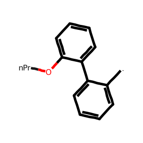 [CH2]c1ccccc1-c1ccccc1OCCC